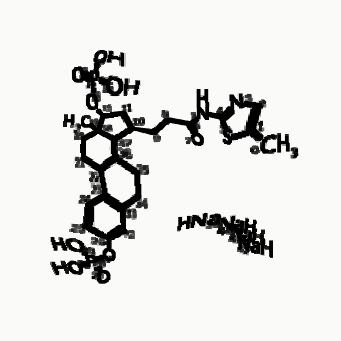 Cc1cnc(NC(=O)CC[C@@H]2C[C@H](OP(=O)(O)O)[C@@]3(C)CCC4c5ccc(OP(=O)(O)O)cc5CCC4C23)s1.[NaH].[NaH].[NaH].[NaH]